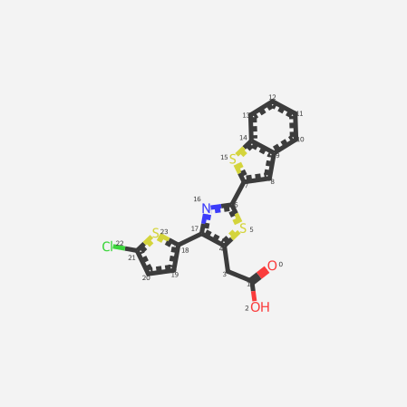 O=C(O)Cc1sc(-c2cc3ccccc3s2)nc1-c1ccc(Cl)s1